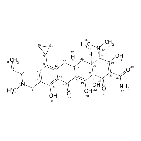 C=CCN(C)Cc1cc(C2CC2)c2c(c1O)C(=O)C1=C(O)[C@]3(O)C(=O)C(C(N)=O)=C(O)[C@@H](N(C)C)[C@@H]3C[C@@H]1C2